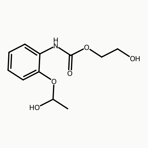 CC(O)Oc1ccccc1NC(=O)OCCO